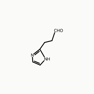 O=CCCc1ncc[nH]1